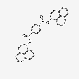 O=C(OC1C=Cc2cccc3cccc1c23)c1ccc(C(=O)OC2C=Cc3cccc4cccc2c34)cc1